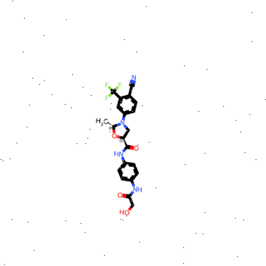 C[C@H]1O[C@H](C(=O)Nc2ccc(NC(=O)CO)cc2)CN1c1ccc(C#N)c(C(F)(F)F)c1